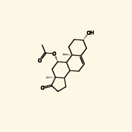 CC(=O)O[C@H]1C[C@]2(C)C(=O)CCC2C2CC=C3C[C@@H](O)CC[C@]3(C)C21